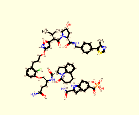 Cc1ncsc1-c1ccc(CNC(=O)[C@@H]2C[C@@H](O)CN2C(=O)[C@@H](c2cc(OCCCc3cccc(OC[C@H](CCC(N)=O)NC(=O)[C@@H]4Cc5cccc6c5N4C(=O)[C@@H](NC(=O)c4cc5cc(C(=O)P(=O)(O)O)ccc5[nH]4)CC6)c3Cl)no2)C(C)C)cc1